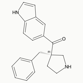 O=C(c1ccc2[nH]ccc2c1)[C@]1(Cc2ccccc2)CCNC1